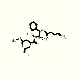 C=CCCC(=O)O[C@H](c1ccccc1)[C@@H](C)N(C)C(=O)[C@@H](CC=C)CC(=O)OC(C)(C)C